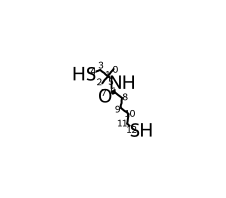 CC(C)(CS)NC(=O)CCCCS